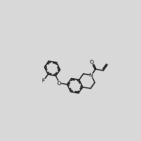 C=CC(=O)N1CCc2ccc(Oc3ccccc3F)cc2C1